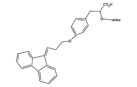 CCCCCCOC(Cc1ccc(OCCC=C2c3ccccc3-c3ccccc32)cc1)C(=O)O